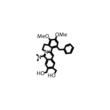 COc1cc(Cc2ccccc2)c2c(c1OC)CC[n+]1c-2cc2cc(CO)c(CO)cc2c1N(C)C